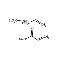 C=CC(=O)O.C=CC(=O)OC.CCOC(N)=O